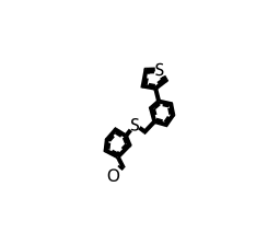 O=Cc1cccc(SCc2cccc(-c3ccsc3)c2)c1